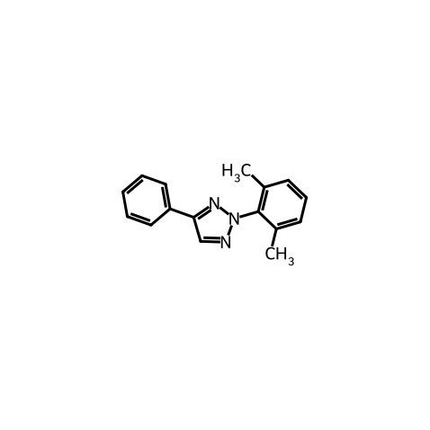 Cc1cccc(C)c1-n1ncc(-c2ccccc2)n1